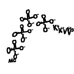 O=P([O-])([O-])[O-].O=P([O-])([O-])[O-].O=P([O-])([O-])[O-].O=P([O-])([O-])[O-].[K+].[K+].[Mo].[V+5].[V+5]